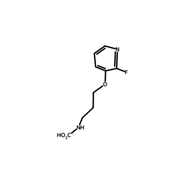 O=C(O)NCCCOc1cccnc1F